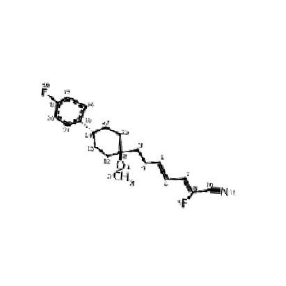 CO[C@]1(CCC=CC=C(F)C#N)CC[C@H](c2ccc(F)cc2)CC1